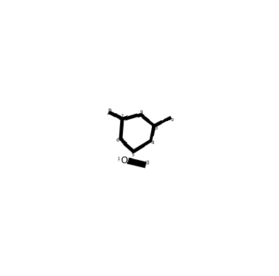 C=O.CC1CCCC(C)C1